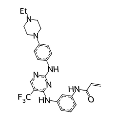 C=CC(=O)Nc1cccc(Nc2nc(Nc3ccc(N4CCN(CC)CC4)cc3)ncc2C(F)(F)F)c1